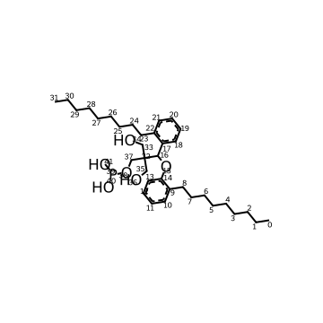 CCCCCCCCCc1ccccc1OC(c1ccccc1CCCCCCCCC)C(CO)(CO)COP(O)O